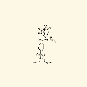 COCCN(CCOC)S(=O)(=O)c1ccc(C(=O)Nc2sc3c(c2C(N)=O)CC(C)(C)NC3(C)C)cc1